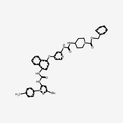 Cc1ccc(-n2nc(C(C)(C)C)cc2NC(=O)Nc2ccc(Oc3ccnc(NC(=O)NC4CCN(C(=O)OCc5ccccc5)CC4)c3)c3ccccc23)cc1